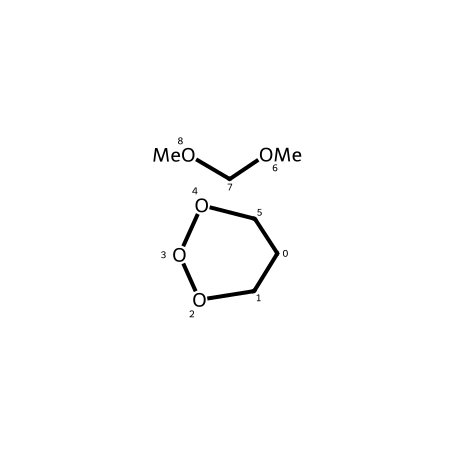 C1COOOC1.COCOC